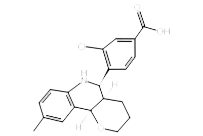 Cc1ccc2c(c1)[C@@H]1OCCC[C@@H]1[C@H](c1ccc(C(=O)O)cc1Cl)N2